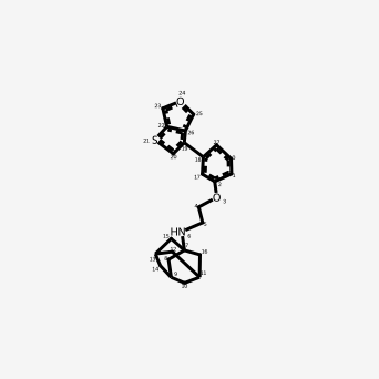 c1cc(OCCNC23CC4CC(CC(C4)C2)C3)cc(-c2csc3cocc23)c1